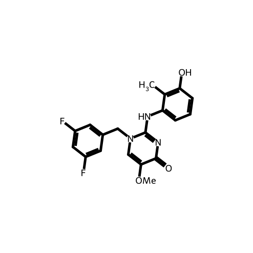 COc1cn(Cc2cc(F)cc(F)c2)c(Nc2cccc(O)c2C)nc1=O